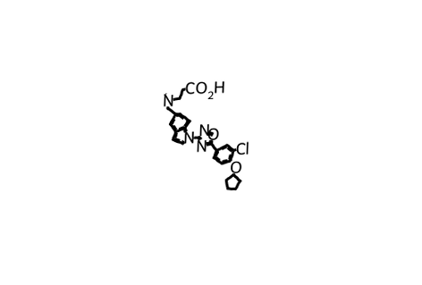 CN(CCC(=O)O)Cc1ccc2c(ccn2-c2noc(-c3ccc(OC4CCCC4)c(Cl)c3)n2)c1